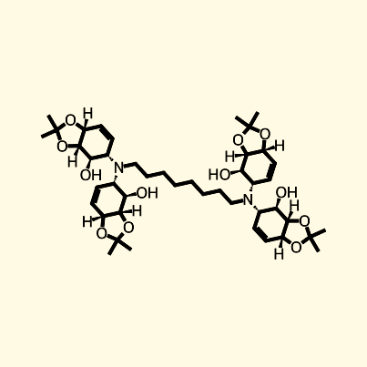 CC1(C)O[C@H]2[C@H](O)[C@@H](N(CCCCCCCCN([C@H]3C=C[C@H]4OC(C)(C)O[C@H]4[C@@H]3O)[C@H]3C=C[C@H]4OC(C)(C)O[C@H]4[C@@H]3O)[C@H]3C=C[C@H]4OC(C)(C)O[C@H]4[C@@H]3O)C=C[C@H]2O1